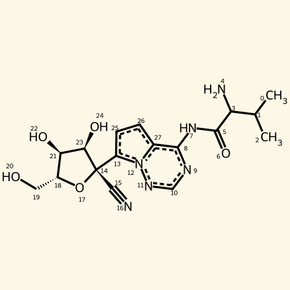 CC(C)C(N)C(=O)Nc1ncnn2c([C@]3(C#N)O[C@H](CO)[C@@H](O)[C@H]3O)ccc12